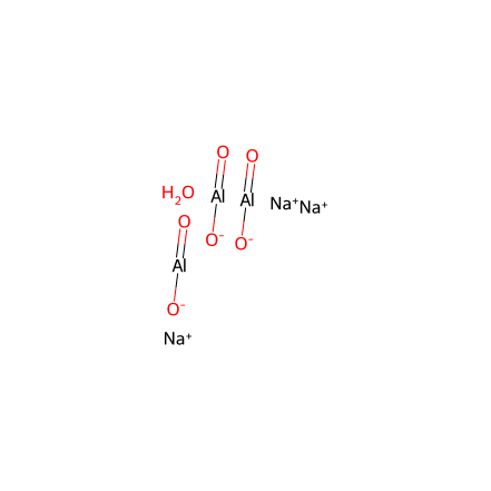 O.[Na+].[Na+].[Na+].[O]=[Al][O-].[O]=[Al][O-].[O]=[Al][O-]